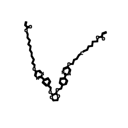 C=CC(=O)OCCCCCCCCCCCOc1cnc(-c2ccc(COC3OCCOC3OCc3ccc(-c4ncc(OCCCCCCCCCCCOC(=O)C=C)cn4)cc3)cc2)nc1